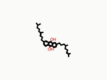 CC(C)=CCCC(C)CCCc1ccc2c(O)c3ccc(CC/C=C(\C)CCCC(C)C)cc3c(O)c2c1